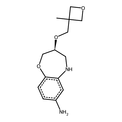 CC1(CO[C@H]2CNc3cc(N)ccc3OC2)COC1